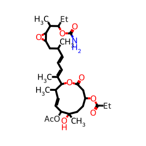 CCC(=O)OC1CCC(C)(O)C(OC(C)=O)/C=C/C(C)C(/C(C)=C/C=C/C(C)CC2OC2C(C)C(CC)OC(N)=O)OC(=O)C1